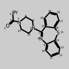 CC(C)C(=O)N1CCN(C2=Nc3ccccc3Sc3ccccc32)CC1